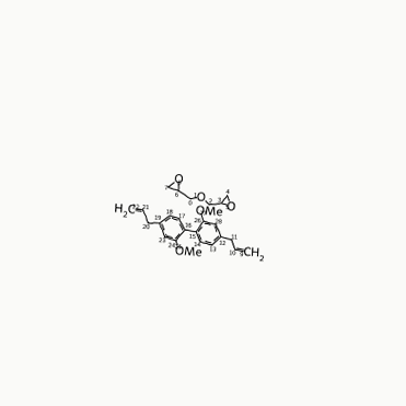 C(OCC1CO1)C1CO1.C=CCc1ccc(-c2ccc(CC=C)cc2OC)c(OC)c1